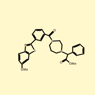 COC(=O)C(c1ccccc1)N1CCCN(C(=O)c2cccc(-c3nc4ccc(OC)cc4s3)c2)CC1